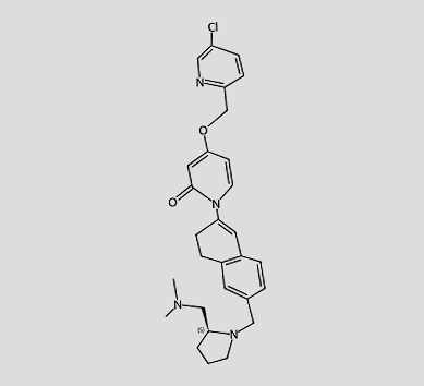 CN(C)C[C@@H]1CCCN1Cc1ccc2c(c1)CCC(n1ccc(OCc3ccc(Cl)cn3)cc1=O)=C2